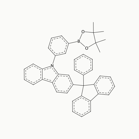 CC1(C)OB(c2cccc(-n3c4ccccc4c4ccc(C5(c6ccccc6)c6ccccc6-c6ccccc65)cc43)c2)OC1(C)C